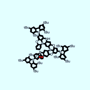 CC(C)(C)c1cc(C(C)(C)C)c2c(c1)c1cc(C(C)(C)C)cc(C(C)(C)C)c1n2-c1cc2c3c(c1)Oc1ccccc1B3c1cc3c(cc1N2)Oc1cc(-n2c4c(C(C)(C)C)cc(C(C)(C)C)cc4c4cc(C(C)(C)C)cc(C(C)(C)C)c42)cc2c1B3c1cc3c(cc1O2)Oc1cc(-n2c4c(C(C)(C)C)cc(C(C)(C)C)cc4c4cc(C(C)(C)C)cc(C(C)(C)C)c42)cc2c1B3c1ccccc1O2